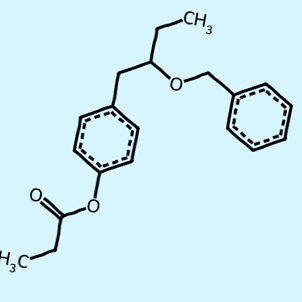 CCC(=O)Oc1ccc(CC(CC)OCc2ccccc2)cc1